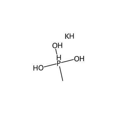 C[PH](O)(O)O.[KH]